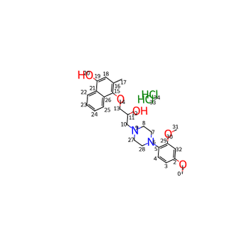 COc1ccc(N2CCN(CC(O)COc3c(C)cc(O)c4ccccc34)CC2)c(OC)c1.Cl.Cl